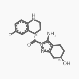 Nc1c2c(nn1C(=O)[C@H]1CCNc3ccc(F)cc31)C[C@H](O)CC2